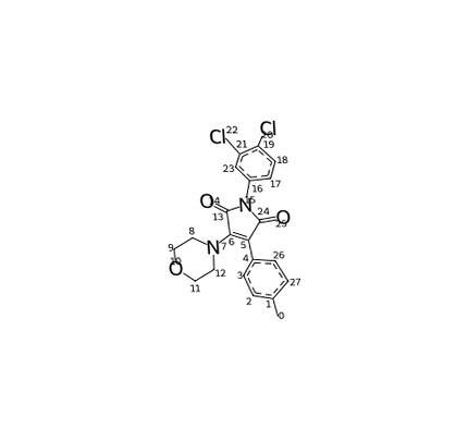 Cc1ccc(C2=C(N3CCOCC3)C(=O)N(c3ccc(Cl)c(Cl)c3)C2=O)cc1